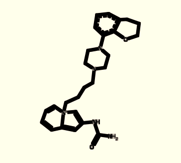 NC(=O)NC1=C[N+]2(CCCCN3CCN(c4cccc5c4OCCC5)CC3)C=CC=CC2=C1